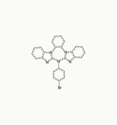 Brc1ccc(-n2c3nc4ccccc4n3c3ccccc3n3c4ccccc4nc23)cc1